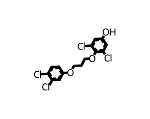 Oc1cc(Cl)c(OCCCOc2ccc(Cl)c(Cl)c2)c(Cl)c1